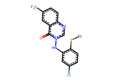 CCSc1ccc(Cl)cc1Nn1cnc2ccc(C(F)(F)F)cc2c1=O